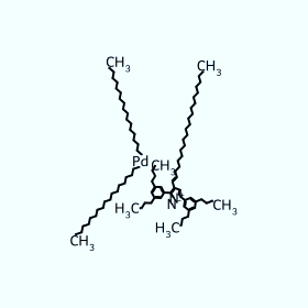 CCCCCCCCCCCCCCCCCCCCCC=CC1=C(c2cc(CCCC)cc(CCCC)c2)[N+](=[N-])C(c2cc(CCCC)cc(CCCC)c2)=C1.CCCCCCCCCCCCCCCCCC[CH2][Pd][CH2]CCCCCCCCCCCCCCCCCC